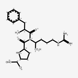 N=C(N)NCCCC(C(=O)O)N(C(=O)C(N)Cc1ccccc1)C(=O)C1CCCN1.O=CCCl